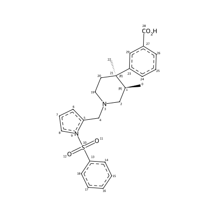 C[C@H]1CN(Cc2cccn2S(=O)(=O)c2ccccc2)CC[C@@]1(C)c1cccc(C(=O)O)c1